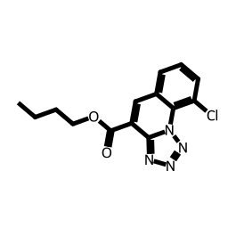 CCCCOC(=O)c1cc2cccc(Cl)c2n2nnnc12